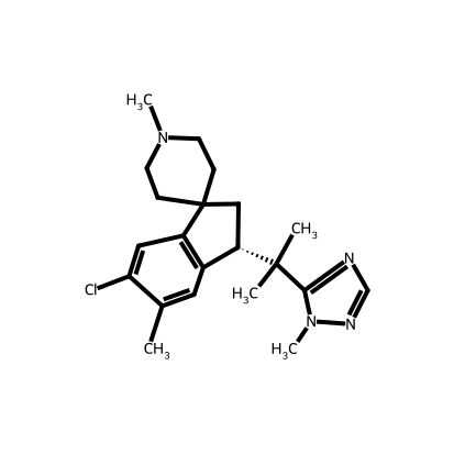 Cc1cc2c(cc1Cl)C1(CCN(C)CC1)C[C@@H]2C(C)(C)c1ncnn1C